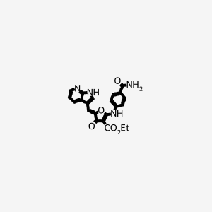 CCOC(=O)C1=C(Nc2ccc(C(N)=O)cc2)O/C(=C\c2c[nH]c3ncccc23)C1=O